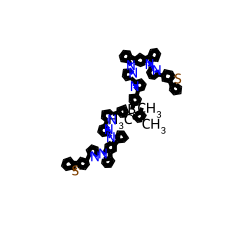 Cc1cc(C)c(B(c2ccc(-c3cccc(-c4cccc(-n5c6ccccc6c6cc7c8ccccc8n(-c8cccc(-c9ccc%10sc%11ccccc%11c%10c9)n8)c7cc65)n4)n3)cc2)c2ccc(-c3cccc(-c4cccc(-n5c6ccccc6c6cc7c8ccccc8n(-c8cccc(-c9ccc%10sc%11ccccc%11c%10c9)n8)c7cc65)n4)n3)cc2)c(C)c1